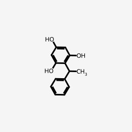 CC(c1ccccc1)c1c(O)cc(O)cc1O